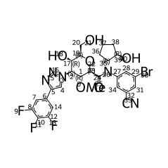 CO[C@@H]1[C@@H](n2cc(-c3cc(F)c(F)c(F)c3)nn2)[C@@H](O)[C@@H](CO)O[C@H]1C(=O)N(c1cc(Br)cc(C#N)c1)[C@@H]1CCC[C@H]1O